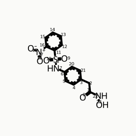 O=C(Cc1ccc(NS(=O)(=O)c2ccccc2[N+](=O)[O-])cc1)NO